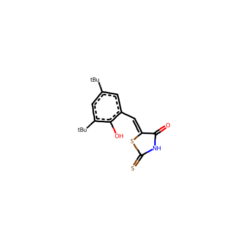 CC(C)(C)c1cc(/C=C2\SC(=S)NC2=O)c(O)c(C(C)(C)C)c1